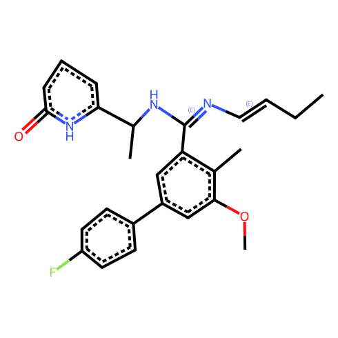 CC/C=C/N=C(/NC(C)c1cccc(=O)[nH]1)c1cc(-c2ccc(F)cc2)cc(OC)c1C